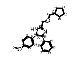 COc1ccc([C@H]2NC(COCC3CCCC3)=N[C@H]2c2ccccc2)cc1